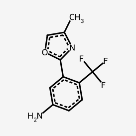 Cc1coc(-c2cc(N)ccc2C(F)(F)F)n1